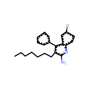 CCCCCCCc1c(N)nc2ccc(Cl)cc2c1-c1ccccc1